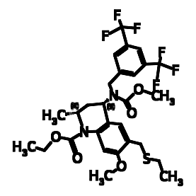 CCOC(=O)N1c2cc(OC)c(CSCC)cc2[C@@H](N(Cc2cc(C(F)(F)F)cc(C(F)(F)F)c2)C(=O)OC)C[C@H]1C